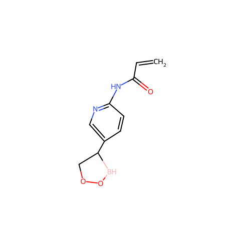 C=CC(=O)Nc1ccc(C2BOOC2)cn1